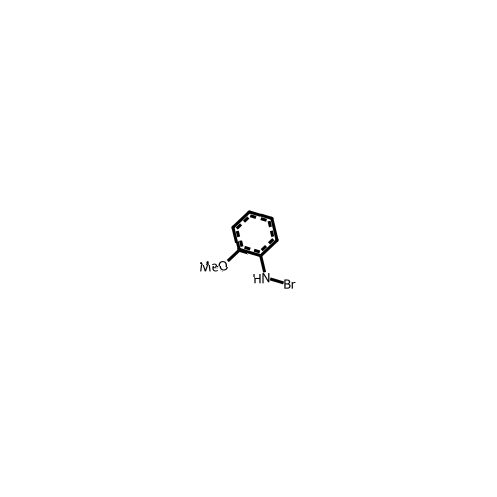 COc1ccccc1NBr